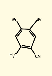 Cc1cc(C(C)C)c(C(C)C)cc1C#N